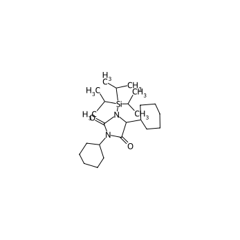 CC(C)[Si](C(C)C)(C(C)C)N1C(=O)N(C2CCCCC2)C(=O)C1C1CCCCC1